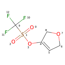 O=S(=O)(OC1=CCOC1)C(F)(F)F